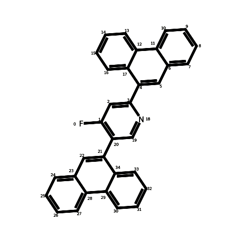 Fc1cc(-c2cc3ccccc3c3ccccc23)ncc1-c1cc2ccccc2c2ccccc12